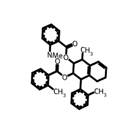 CNc1ccccc1C(=O)OC1C(C)C2=C(CCC=C2)C(c2ccccc2C)C1OC(=O)c1ccccc1C